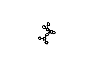 c1ccc(-c2cc(-c3ccccc3)cc(-c3ccc(-n4c5cc6ccccc6cc5c5cc6c(cc54)c4ccccc4n6-c4ccccc4)cc3)c2)cc1